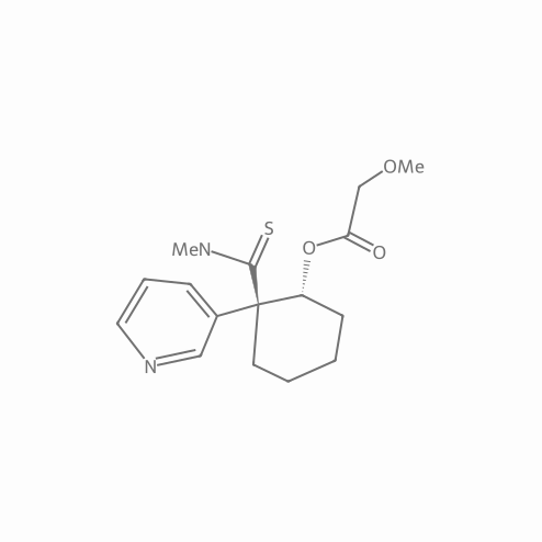 CNC(=S)[C@]1(c2cccnc2)CCCC[C@H]1OC(=O)COC